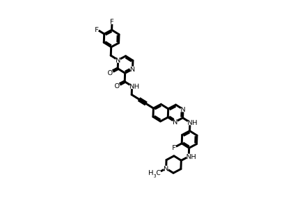 CN1CCC(Nc2ccc(Nc3ncc4cc(C#CCNC(=O)c5nccn(Cc6ccc(F)c(F)c6)c5=O)ccc4n3)cc2F)CC1